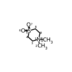 C[N+]1(C)CCS(=O)(=O)CC1